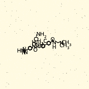 Cc1cc(C(=O)NCCCN(C)C)ccc1-c1ccc(C[C@H](NC(=O)[C@H]2CC[C@H](CN)CC2)C(=O)Nc2ccc(-c3nn[nH]n3)cc2)cc1